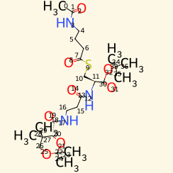 CC(=O)NCCCC(=O)SC[C@H](NC(=O)CCNC(=O)[C@@H]1OC(C)(C)OCC1(C)C)C(=O)OC(C)(C)C